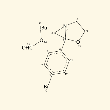 Brc1ccc(C23CN2CCO3)cc1.CC(C)(C)OC=O